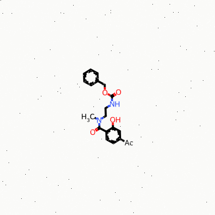 CC(=O)c1ccc(C(=O)N(C)CCNC(=O)OCc2ccccc2)c(O)c1